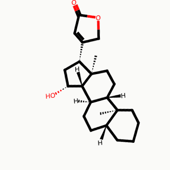 C[C@]12CC[C@H]3[C@@H](CC[C@H]4CCCC[C@@]43C)[C@@H]1[C@H](O)C[C@@H]2C1=CC(=O)OC1